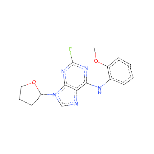 COc1ccccc1Nc1nc(F)nc2c1ncn2C1CCCO1